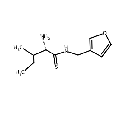 CCC(C)[C@H](N)C(=S)NCc1ccoc1